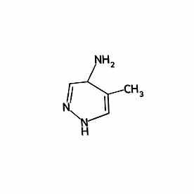 CC1=CNN=CC1N